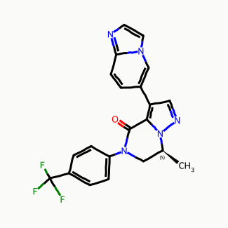 C[C@H]1CN(c2ccc(C(F)(F)F)cc2)C(=O)c2c(-c3ccc4nccn4c3)cnn21